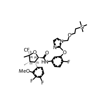 COc1c([C@H]2[C@H](C(=O)Nc3ccc(F)c(Oc4nccn4COCC[Si](C)(C)C)c3)O[C@@](C)(C(F)(F)F)[C@H]2C)ccc(F)c1F